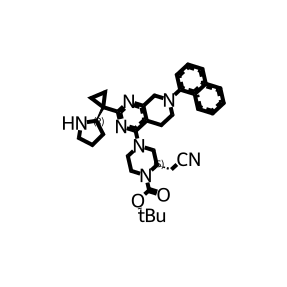 CC(C)(C)OC(=O)N1CCN(c2nc(C3([C@H]4CCCN4)CC3)nc3c2CCN(c2cccc4ccccc24)C3)C[C@@H]1CC#N